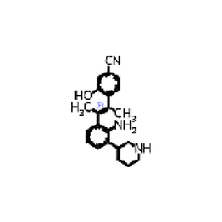 C/C(=C(/C)c1cccc(C2CCCNC2)c1N)c1ccc(C#N)cc1O